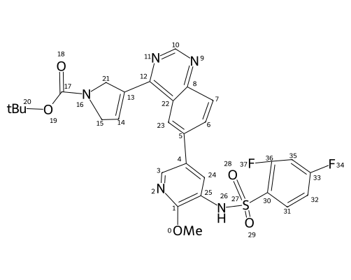 COc1ncc(-c2ccc3ncnc(C4=CCN(C(=O)OC(C)(C)C)C4)c3c2)cc1NS(=O)(=O)c1ccc(F)cc1F